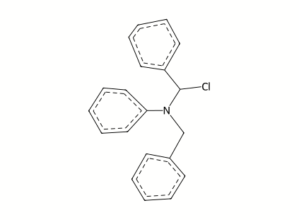 ClC(c1ccccc1)N(Cc1ccccc1)c1ccccc1